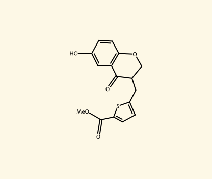 COC(=O)c1ccc(CC2COc3ccc(O)cc3C2=O)s1